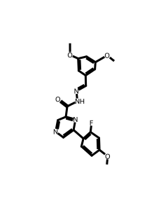 COc1cc(C=NNC(=O)c2cncc(-c3ccc(OC)cc3F)n2)cc(OC)c1